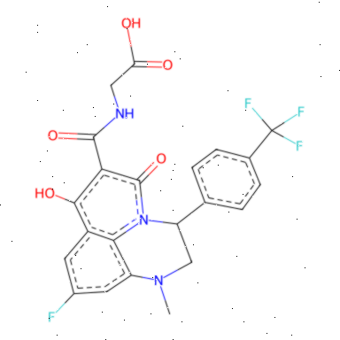 CN1CC(c2ccc(C(F)(F)F)cc2)n2c(=O)c(C(=O)NCC(=O)O)c(O)c3cc(F)cc1c32